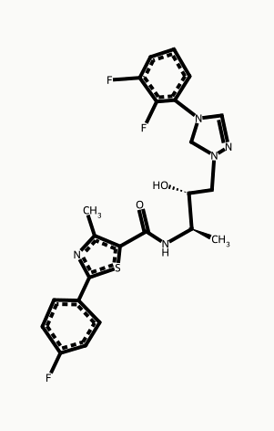 Cc1nc(-c2ccc(F)cc2)sc1C(=O)N[C@H](C)[C@H](O)CN1CN(c2cccc(F)c2F)C=N1